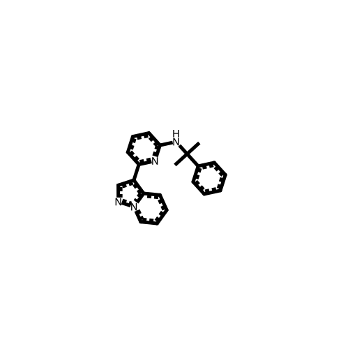 CC(C)(Nc1cccc(-c2cnn3ccccc23)n1)c1ccccc1